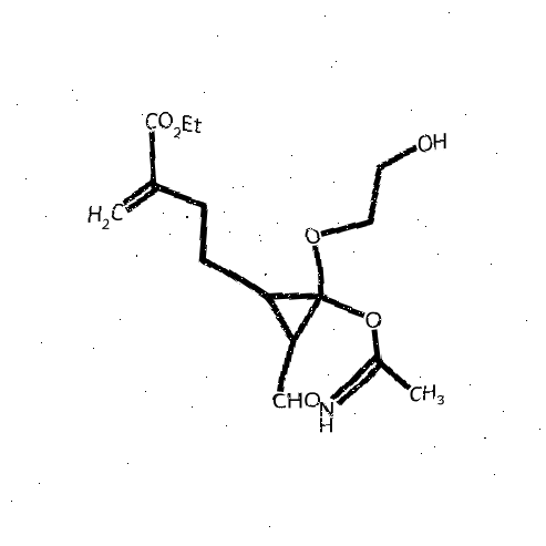 C=C(CCC1C(C=O)C1(OCCO)OC(C)=N)C(=O)OCC